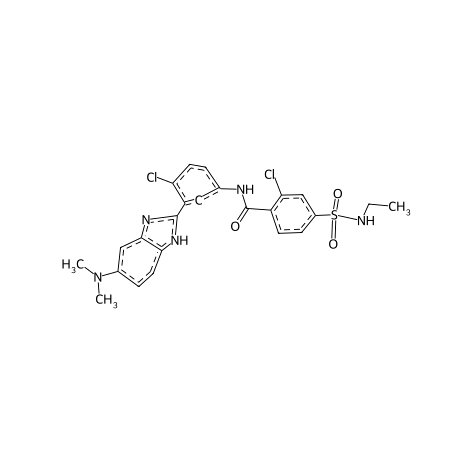 CCNS(=O)(=O)c1ccc(C(=O)Nc2ccc(Cl)c(-c3nc4cc(N(C)C)ccc4[nH]3)c2)c(Cl)c1